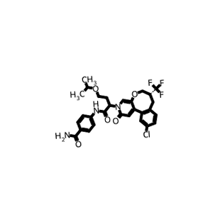 CC(C)OCCC(C(=O)Nc1ccc(C(N)=O)cc1)n1cc2c(cc1=O)-c1cc(Cl)ccc1C[C@@H](C(F)(F)F)CO2